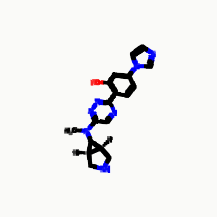 CN(c1cnc(-c2ccc(-n3ccnc3)cc2O)nn1)C1[C@H]2CNC[C@@H]12